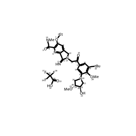 CCOc1cc2c(nc1C(=O)NC)C(=N)N(CC(=O)c1cc(N3C[C@@H](O)[C@H](OC)C3)c(OC)c(C(C)(C)C)c1)C2.O=C(O)C(F)(F)F